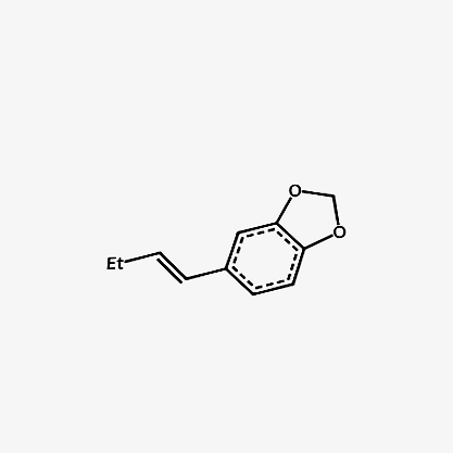 CCC=Cc1ccc2c(c1)OCO2